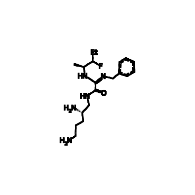 CCC(F)[C@H](C)N/C(=N/Cc1ccccc1)C(=O)NC[C@@H](N)CCCN